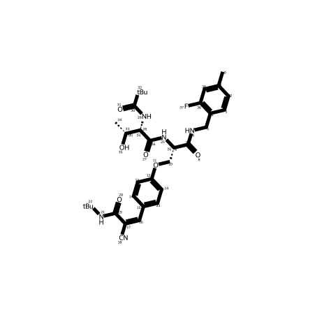 Cc1ccc(CNC(=O)[C@H](COc2ccc(C=C(C#N)C(=O)NC(C)(C)C)cc2)NC(=O)[C@@H](NC(=O)C(C)(C)C)[C@@H](C)O)c(F)c1